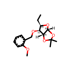 CC[C@H]1O[C@@H]2OC(C)(C)O[C@@H]2[C@H]1OCc1ccccc1OC